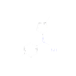 Cc1ccc(N(C)c2ccc(F)cc2)s1.N